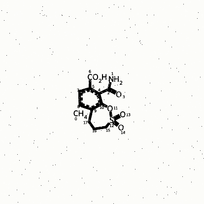 C.NC(=O)c1c(C(=O)O)ccc2c1OS(=O)(=O)CCC2